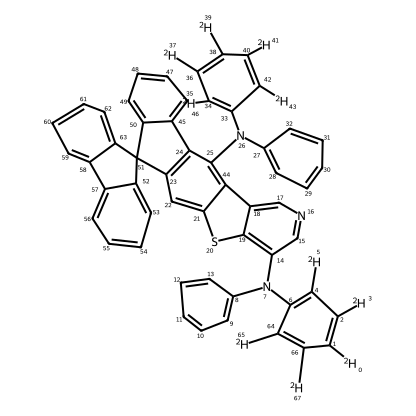 [2H]c1c([2H])c([2H])c(N(c2ccccc2)c2cncc3c2sc2cc4c(c(N(c5ccccc5)c5c([2H])c([2H])c([2H])c([2H])c5[2H])c23)-c2ccccc2C42c3ccccc3-c3ccccc32)c([2H])c1[2H]